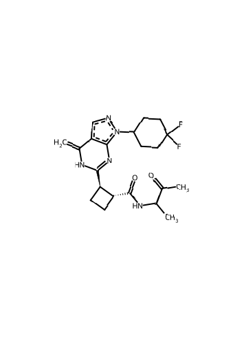 C=C1NC([C@@H]2CC[C@H]2C(=O)NC(C)C(C)=O)=Nc2c1cnn2C1CCC(F)(F)CC1